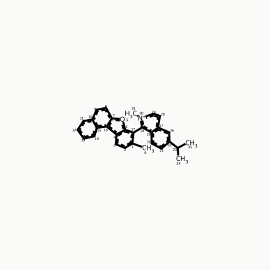 Cc1ccc2c(oc3ccc4ccccc4c32)c1-c1c2ccc(C(C)C)cc2cc[n+]1C